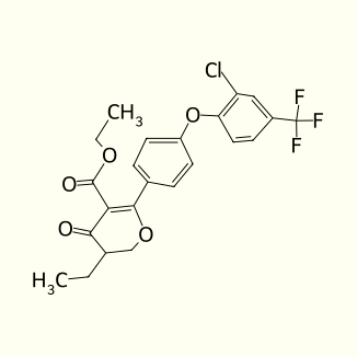 CCOC(=O)C1=C(c2ccc(Oc3ccc(C(F)(F)F)cc3Cl)cc2)OCC(CC)C1=O